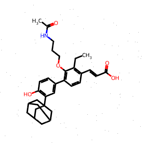 CCc1c(C=CC(=O)O)ccc(-c2ccc(O)c(C34CC5CC(CC(C5)C3)C4)c2)c1OCCCNC(C)=O